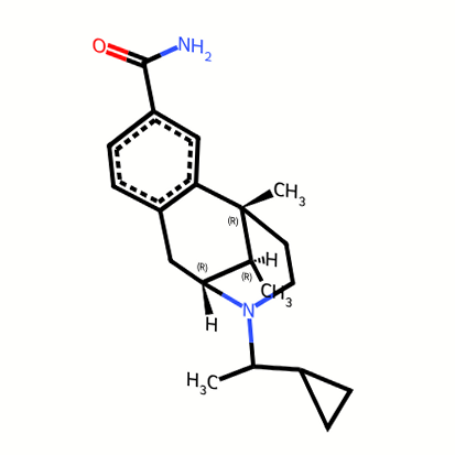 CC(C1CC1)N1CC[C@@]2(C)c3cc(C(N)=O)ccc3C[C@@H]1[C@@H]2C